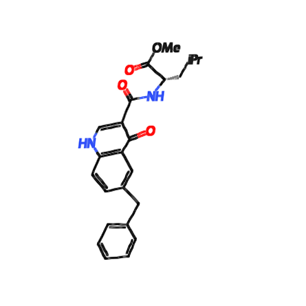 COC(=O)[C@H](CC(C)C)NC(=O)c1c[nH]c2ccc(Cc3ccccc3)cc2c1=O